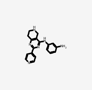 Nc1cccc(Nc2nc(-c3ccncc3)nc3c2CNCC3)c1